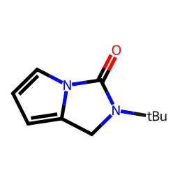 CC(C)(C)N1Cc2cccn2C1=O